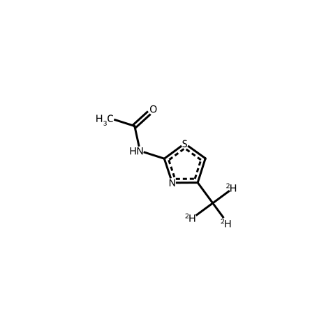 [2H]C([2H])([2H])c1csc(NC(C)=O)n1